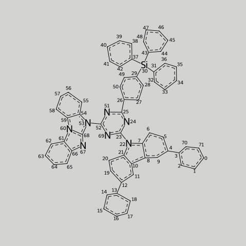 c1ccc(-c2ccc3c(c2)c2cc(-c4ccccc4)ccc2n3-c2nc(-c3ccc([Si](c4ccccc4)(c4ccccc4)c4ccccc4)cc3)nc(-n3c4ccccc4n4c5ccccc5nc34)n2)cc1